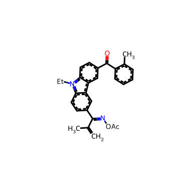 C=C(C)C(=NOC(C)=O)c1ccc2c(c1)c1cc(C(=O)c3ccccc3C)ccc1n2CC